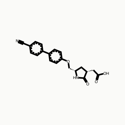 N#Cc1ccc(-c2ccc(OC[C@@H]3C[C@H](CC(=O)O)C(=O)N3)cc2)cc1